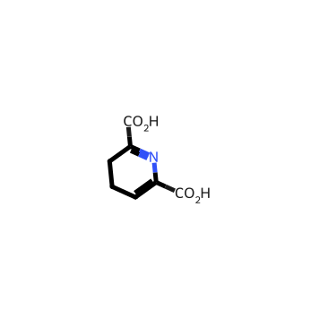 O=C(O)C1=CCCC(C(=O)O)=N1